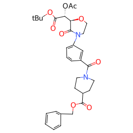 CC(=O)O[C@@H](C(=O)OC(C)(C)C)[C@H]1OCCN(c2cccc(C(=O)N3CCC(C(=O)OCc4ccccc4)CC3)c2)C1=O